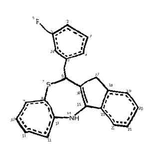 Fc1cccc(C2Sc3ccccc3NC3=C2Cc2ccccc23)c1